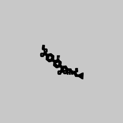 CCOC(=O)N1CCN(c2ccc(N3CC(CNC(=S)CC4CC4)OC3=O)cc2F)CC1